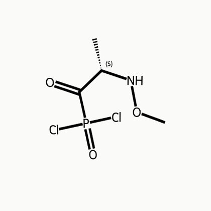 CON[C@@H](C)C(=O)P(=O)(Cl)Cl